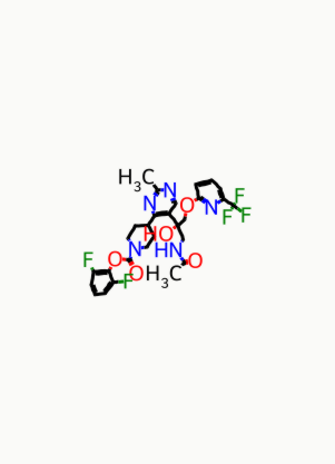 CC(=O)NCC(O)(COc1cccc(C(F)(F)F)n1)c1cnc(C)nc1C1CCN(C(=O)Oc2c(F)cccc2F)CC1